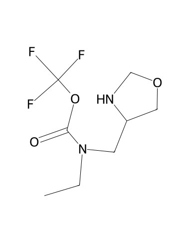 CCN(CC1COCN1)C(=O)OC(F)(F)F